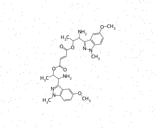 COc1ccc2c(c1)c(C(N)C(C)OC(=O)/C=C/C(=O)OC(C)C(N)c1nn(C)c3ccc(OC)cc13)nn2C